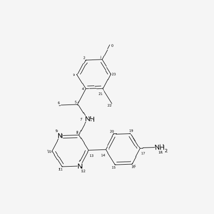 Cc1ccc(C(C)Nc2nccnc2-c2ccc(N)cc2)c(C)c1